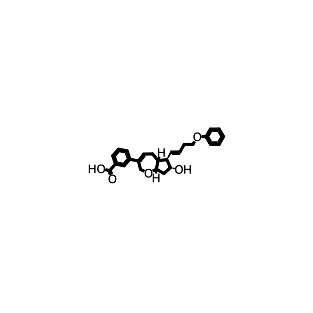 O=C(O)c1cccc(C2=CC[C@@H]3[C@@H](/C=C/CCOc4ccccc4)[C@H](O)C[C@@H]3OC2)c1